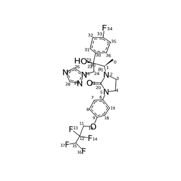 C[C@@H](N1CCN(c2ccc(OCC(F)(F)C(F)F)cc2)C1=O)[C@](O)(Cn1cncn1)c1ccc(F)cc1